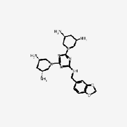 N[C@@H]1C[C@H](N)CN(c2nc(NCc3ccc4c(c3)OCO4)nc(N3C[C@H](N)C[C@H](N)C3)n2)C1